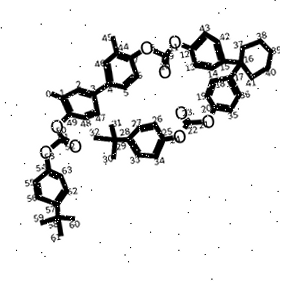 Cc1cc(-c2ccc(OC(=O)Oc3ccc(C4(c5ccc(OC(=O)Oc6ccc(C(C)(C)C)cc6)cc5)CCCCC4)cc3)c(C)c2)ccc1OC(=O)Oc1ccc(C(C)(C)C)cc1